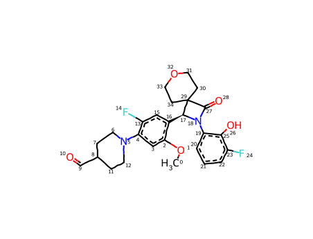 COc1cc(N2CCC(C=O)CC2)c(F)cc1[C@@H]1N(c2cccc(F)c2O)C(=O)C12CCOCC2